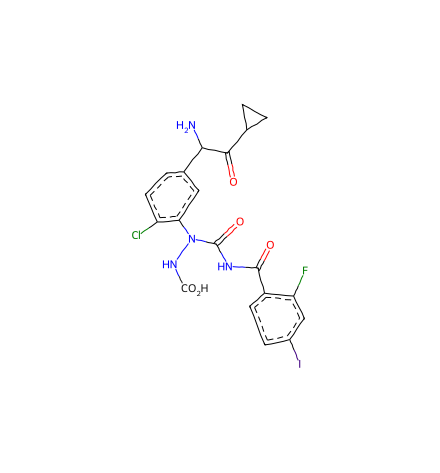 NC(C(=O)C1CC1)c1ccc(Cl)c(N(NC(=O)O)C(=O)NC(=O)c2ccc(I)cc2F)c1